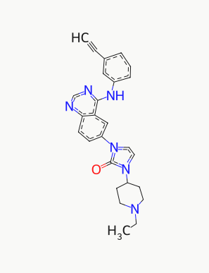 C#Cc1cccc(Nc2ncnc3ccc(-n4ccn(C5CCN(CC)CC5)c4=O)cc23)c1